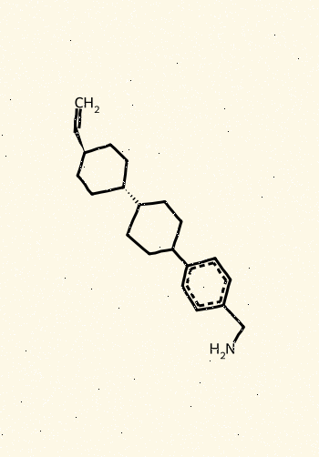 C=C[C@H]1CC[C@H](C2CCC(c3ccc(CN)cc3)CC2)CC1